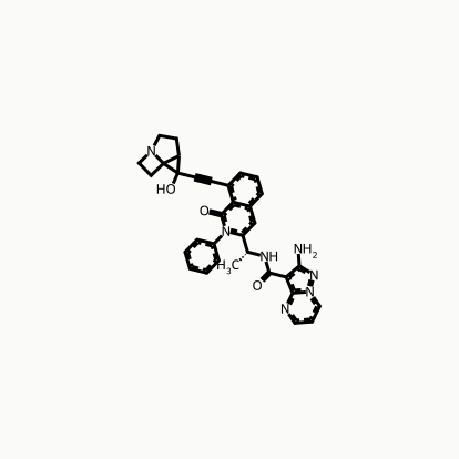 C[C@@H](NC(=O)c1c(N)nn2cccnc12)c1cc2cccc(C#CC3(O)C4CCN5CCC453)c2c(=O)n1-c1ccccc1